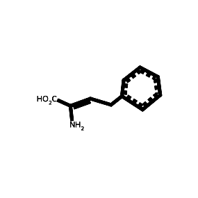 N/C(=C\Cc1ccccc1)C(=O)O